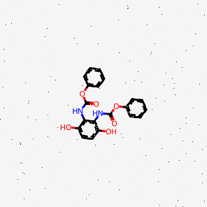 O=C(Nc1c(O)ccc(O)c1NC(=O)Oc1ccccc1)Oc1ccccc1